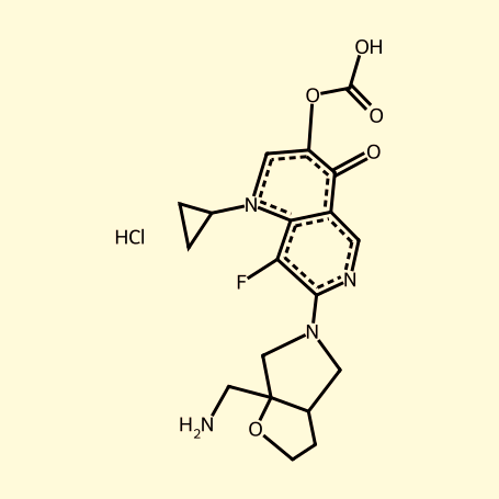 Cl.NCC12CN(c3ncc4c(=O)c(OC(=O)O)cn(C5CC5)c4c3F)CC1CCO2